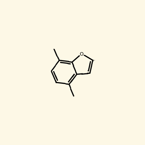 Cc1ccc(C)c2o[c]cc12